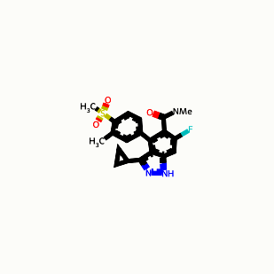 CNC(=O)c1c(F)cc2[nH]nc(C3CC3)c2c1-c1ccc(S(C)(=O)=O)c(C)c1